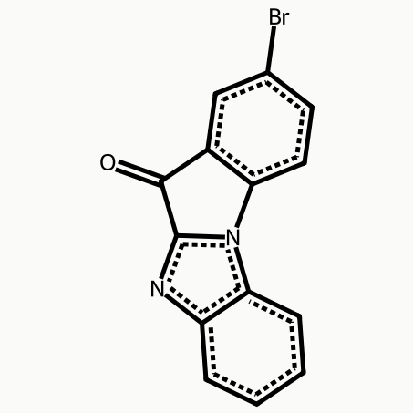 O=C1c2cc(Br)ccc2-n2c1nc1ccccc12